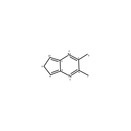 Cc1nc2c(nc1C)=CCC=2